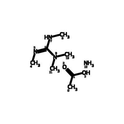 CC(=O)O.CN=C(NC)N(C)C.N